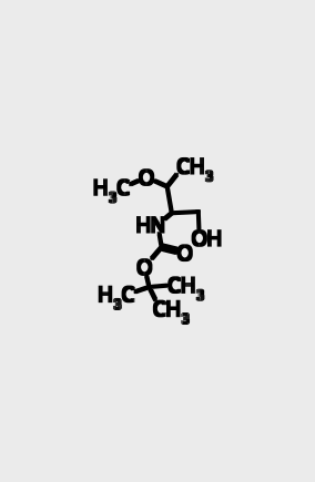 COC(C)C(CO)NC(=O)OC(C)(C)C